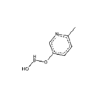 Cc1ccc(OBO)cn1